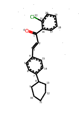 O=C(C=Cc1ccc(C2CCCCC2)cc1)c1ccccc1Cl